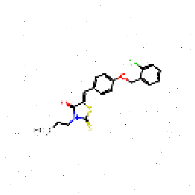 O=C(O)CCN1C(=O)/C(=C/c2ccc(OCc3ccccc3Cl)cc2)SC1=S